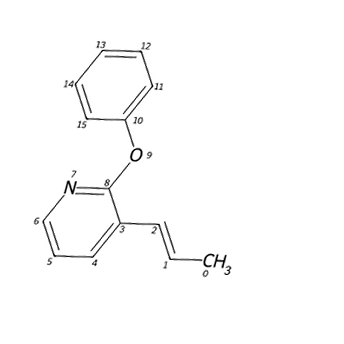 CC=Cc1cccnc1Oc1ccccc1